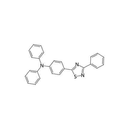 c1ccc(-c2nsc(-c3ccc(N(c4ccccc4)c4ccccc4)cc3)n2)cc1